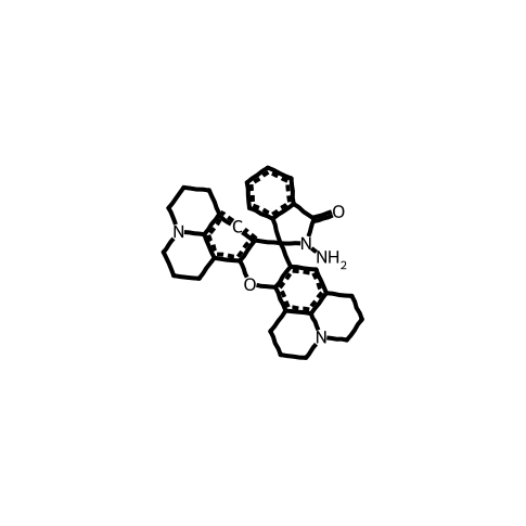 NN1C(=O)c2ccccc2C12c1cc3c4c(c1Oc1c2cc2c5c1CCCN5CCC2)CCCN4CCC3